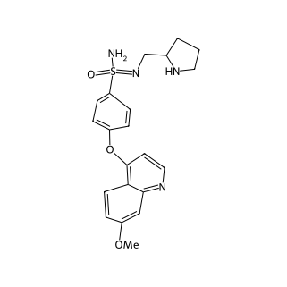 COc1ccc2c(Oc3ccc(S(N)(=O)=NCC4CCCN4)cc3)ccnc2c1